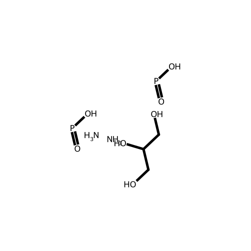 N.N.O=PO.O=PO.OCC(O)CO